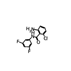 Nc1cccc(Cl)c1C(=O)Nc1cc(F)cc(F)c1